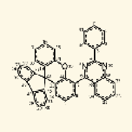 c1ccc(-c2nc(-c3cccc4c3Oc3ccccc3C43c4ccccc4-c4ccccc43)c3ccccc3n2)cc1